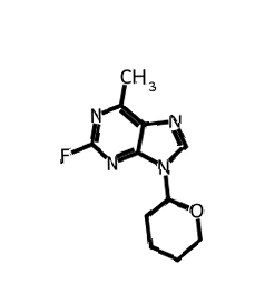 Cc1nc(F)nc2c1ncn2C1CCCCO1